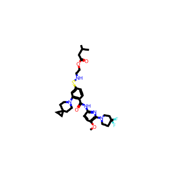 COc1ccc(NC(=O)c2ccc(SNCCOC(=O)CC(C)C)cc2N2CCC3(CC2)CC3)nc1N1CCC(F)(F)CC1